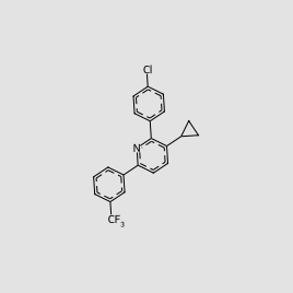 FC(F)(F)c1cccc(-c2ccc(C3CC3)c(-c3ccc(Cl)cc3)n2)c1